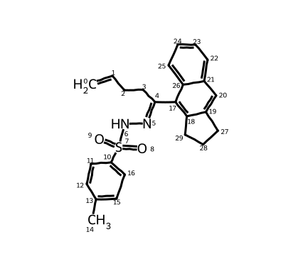 C=CCC/C(=N\NS(=O)(=O)c1ccc(C)cc1)c1c2c(cc3ccccc13)CCC2